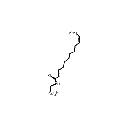 CCCCC/C=C\CCCCCCCCC(=O)NCC(=O)O